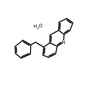 O.c1ccc(Cc2cccc3nc4ccccc4cc23)cc1